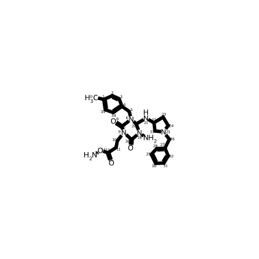 Cc1ccc(CN2C(=O)N(CCC(=O)ON)C(=O)N(N)C2NC2CCN(Cc3ccccc3)C2)cc1